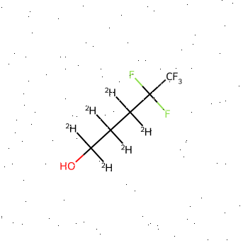 [2H]C([2H])(O)C([2H])([2H])C([2H])([2H])C(F)(F)C(F)(F)F